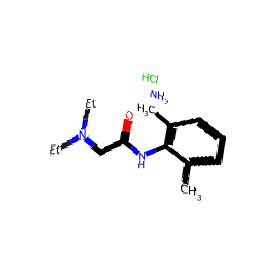 CCN(CC)CC(=O)Nc1c(C)cccc1C.Cl.N